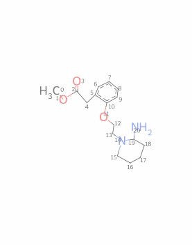 COC(=O)Cc1ccccc1OCCN1CCCCC1N